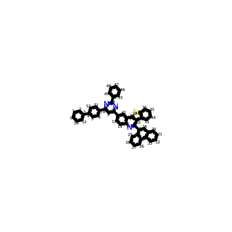 c1ccc(-c2ccc(-c3cc(-c4ccc5nc(-c6cc7ccccc7c7ccccc67)c6c7ccccc7sc6c5c4)nc(-c4ccccc4)n3)cc2)cc1